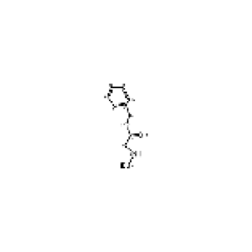 CCC(C)NCC(=O)OCc1ccccc1